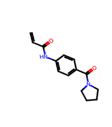 C=CC(=O)Nc1ccc(C(=O)N2CCCC2)cc1